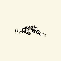 Cc1ccc(S(=O)(=O)OC[C@@H](O)[C@H](c2ccccc2)n2ccc3cc(C)nc(Cl)c32)cc1